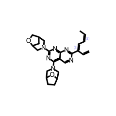 C=C/C(=C\C=C/C)c1ncc2c(N3CC4CCC(C3)O4)nc(N3CC4COC(C4)C3)nc2n1